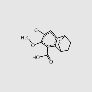 COc1c(Cl)cc2c(c1C(=O)O)C1CCC2CC1